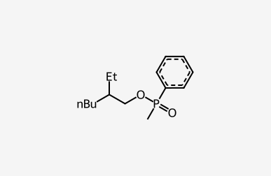 CCCCC(CC)COP(C)(=O)c1ccccc1